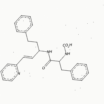 O=C(O)NC(Cc1ccccc1)C(=O)NC(/C=C/c1ccccn1)CCc1ccccc1